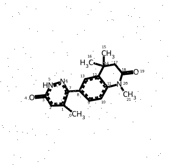 Cc1cc(=O)[nH]nc1-c1ccc2c(c1)C(C)(C)CC(=O)N2C